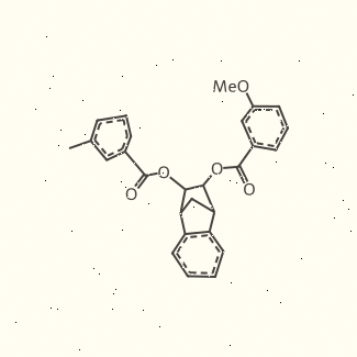 COc1cccc(C(=O)OC2C3CC(c4ccccc43)C2OC(=O)c2cccc(C)c2)c1